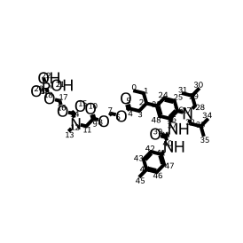 CCC(CC(=O)OCOC(=O)CN(C)C(=O)OCOP(=O)(O)O)c1ccc(N(CC(C)C)CC(C)C)c(NC(=O)Nc2ccc(C)cc2)c1